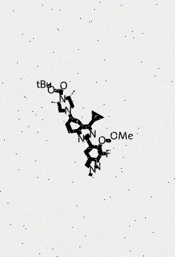 COCOc1c(-c2nc(C3CC3)c3cc(N4C[C@@H](C)N(C(=O)OC(C)(C)C)[C@@H](C)C4)ccc3n2)cc2cn(C)nc2c1F